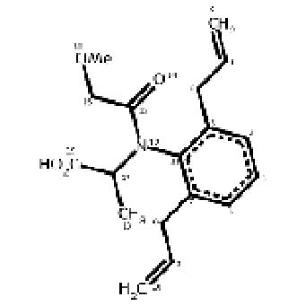 C=CCc1cccc(CC=C)c1N(C(=O)COC)C(C)C(=O)O